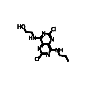 CCCNc1nc(Cl)nc2c(NCCO)nc(Cl)nc12